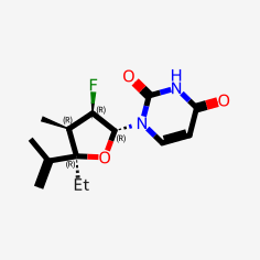 C=C(C)[C@]1(CC)O[C@@H](n2ccc(=O)[nH]c2=O)[C@H](F)[C@@H]1C